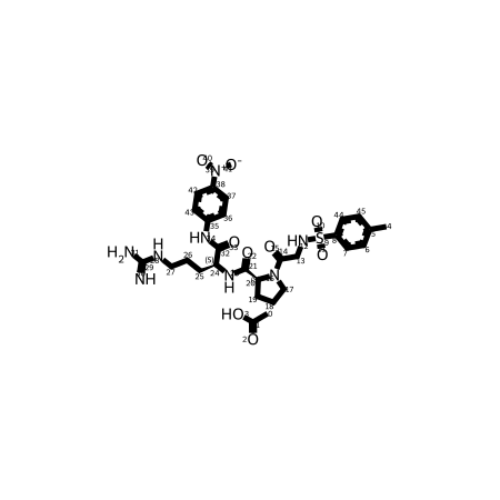 CC(=O)O.Cc1ccc(S(=O)(=O)NCC(=O)N2CCC[C@H]2C(=O)N[C@@H](CCCNC(=N)N)C(=O)Nc2ccc([N+](=O)[O-])cc2)cc1